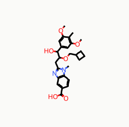 COc1cc(C(O)C(Cc2nc3cc(C(=O)O)ccc3n2C)OCC2CCC2)cc(OC)c1C